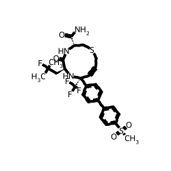 CC(C)(F)C[C@@H]1N[C@@](c2ccc(-c3ccc(S(C)(=O)=O)cc3)cc2)(C(F)(F)F)C#CCSC[C@@H](C(N)=O)NC1=O